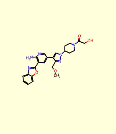 COCc1nn(C2CCN(C(=O)CO)CC2)cc1-c1cnc(N)c(-c2nc3ccccc3o2)c1